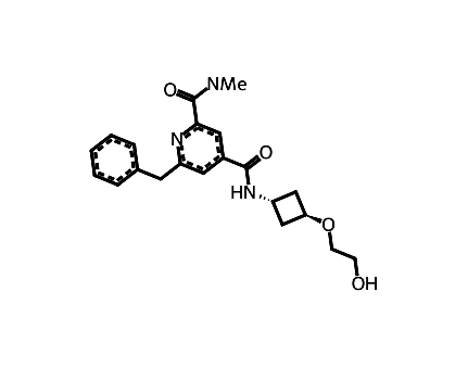 CNC(=O)c1cc(C(=O)N[C@H]2C[C@H](OCCO)C2)cc(Cc2ccccc2)n1